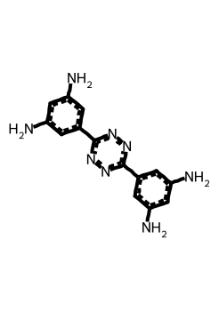 Nc1cc(N)cc(-c2nnc(-c3cc(N)cc(N)c3)nn2)c1